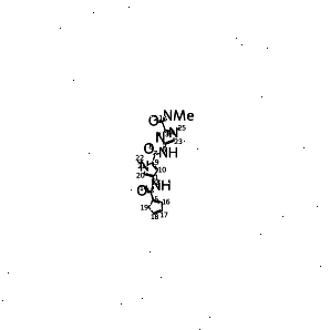 CNC(=O)c1nc(NC(=O)c2cc(NC(=O)C3=CC=CC3)cn2C)cn1C